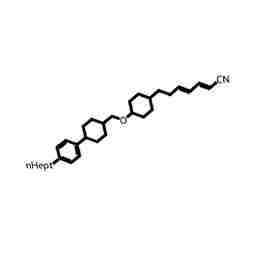 CCCCCCCc1ccc(C2CCC(COC3CCC(CCC=CC=CC#N)CC3)CC2)cc1